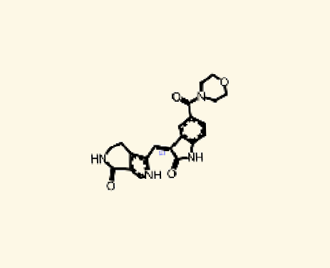 O=C1Nc2ccc(C(=O)N3CCOCC3)cc2/C1=C/c1[nH]cc2c1CCNC2=O